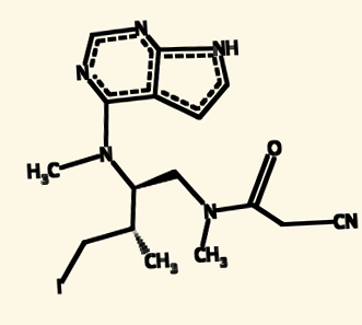 C[C@H](CI)[C@H](CN(C)C(=O)CC#N)N(C)c1ncnc2[nH]ccc12